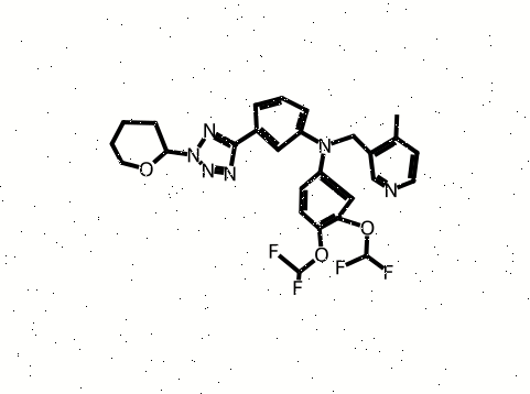 Cc1ccncc1CN(c1cccc(-c2nnn(C3CCCCO3)n2)c1)c1ccc(OC(F)F)c(OC(F)F)c1